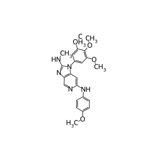 CNc1nc2cnc(Nc3ccc(OC)cc3)cc2n1-c1cc(OC)c(OC)c(OC)c1